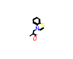 CC([C]=O)CN1C=CSc2ccccc21